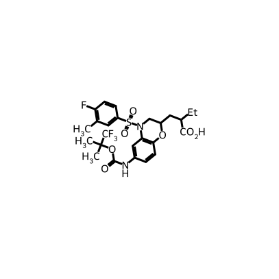 CCC(CC1CN(S(=O)(=O)c2ccc(F)c(C)c2)c2cc(NC(=O)OC(C)(C)C(F)(F)F)ccc2O1)C(=O)O